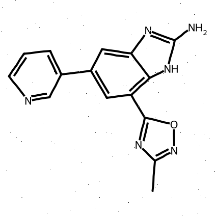 Cc1noc(-c2cc(-c3cccnc3)cc3nc(N)[nH]c23)n1